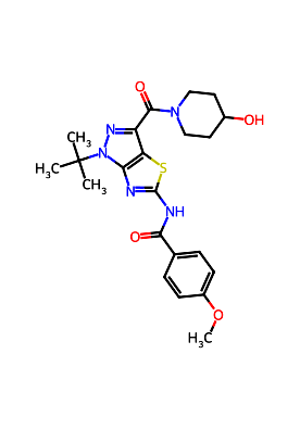 COc1ccc(C(=O)Nc2nc3c(s2)c(C(=O)N2CCC(O)CC2)nn3C(C)(C)C)cc1